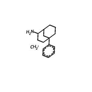 NC1CCC2(c3ccccc3)CCCC1C2.[CH2]